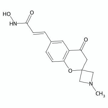 CN1CC2(CC(=O)c3cc(/C=C/C(=O)NO)ccc3O2)C1